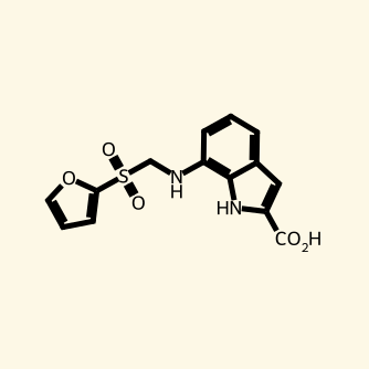 O=C(O)c1cc2cccc(NCS(=O)(=O)c3ccco3)c2[nH]1